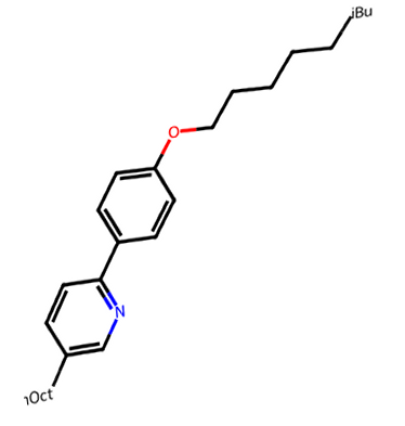 CCCCCCCCc1ccc(-c2ccc(OCCCCCC(C)CC)cc2)nc1